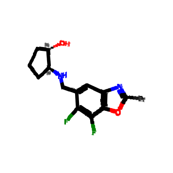 CC(C)c1nc2cc(CN[C@H]3CCC[C@@H]3O)c(F)c(F)c2o1